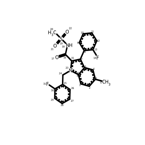 Cc1ccc2c(c1)c(-c1ccccc1F)c(C(=O)NS(C)(=O)=O)n2Cc1ccccc1F